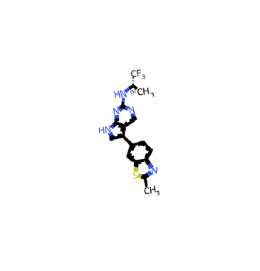 Cc1nc2ccc(-c3c[nH]c4nc(N[C@@H](C)C(F)(F)F)ncc34)cc2s1